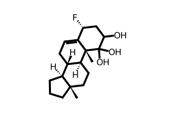 C[C@@]12CCC[C@H]1[C@@H]1CC=C3[C@H](F)CC(O)C(O)(O)[C@]3(C)[C@H]1CC2